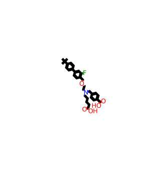 CC(C)(C)c1ccc(-c2ccc(COCCN(CCCCC(=O)O)Cc3ccc(C(=O)O)cc3)c(F)c2)cc1